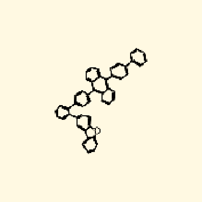 c1ccc(-c2ccc(-c3c4ccccc4c(-c4ccc(-c5ccccc5-c5ccc6oc7ccccc7c6c5)cc4)c4ccccc34)cc2)cc1